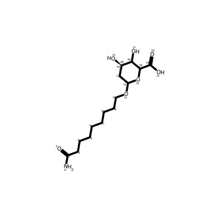 NC(=O)CCCCCCCCOC1C[C@@H](O)C(O)C(C(=O)O)O1